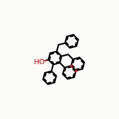 Oc1cc(Cc2ccccc2)c(Cc2ccccc2)c(-c2ccccc2)c1-c1ccccc1